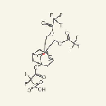 O=C(OCC1(COC(=O)C(F)(F)F)CSC2CC3CC(CC(OC(=O)C(F)(F)S(=O)(=O)O)(C3)C2)SC1)C(F)(F)F